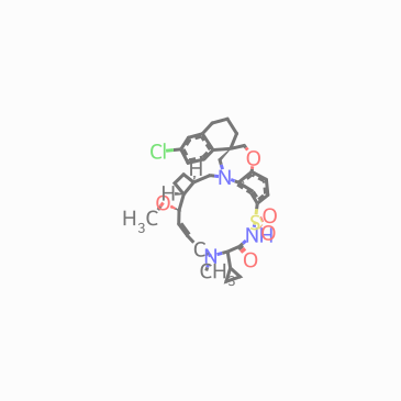 CO[C@@H]1/C=C/CN(C)C(C2CC2)C(=O)NS(=O)(=O)c2ccc3c(c2)N(C[C@@H]2CC[C@H]21)C[C@@]1(CCCc2cc(Cl)ccc21)CO3